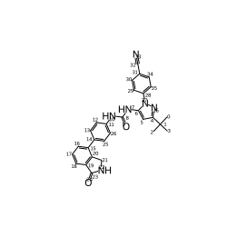 CC(C)(C)c1cc(NC(=O)Nc2ccc(-c3cccc4c3CNC4=O)cc2)n(-c2ccc(C#N)cc2)n1